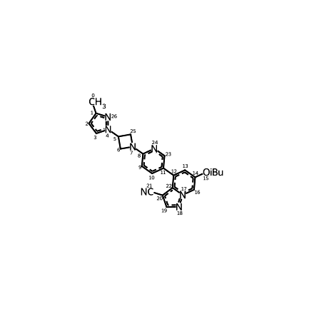 Cc1ccn(C2CN(c3ccc(-c4cc(OCC(C)C)cn5ncc(C#N)c45)cn3)C2)n1